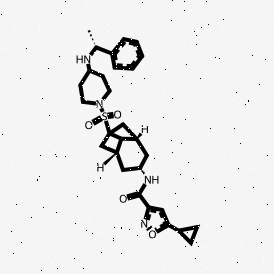 C[C@@H](NC1CCN(S(=O)(=O)C23C[C@H]4C[C@@H](NC(=O)c5cc(C6CC6)on5)C[C@@H](C2)C43)CC1)c1ccccc1